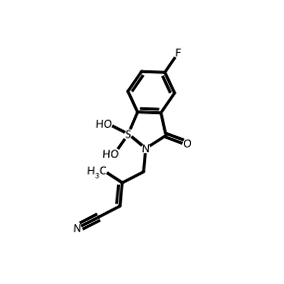 C/C(=C\C#N)CN1C(=O)c2cc(F)ccc2S1(O)O